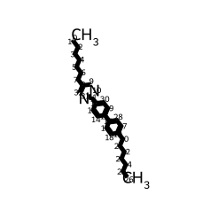 CCCCCCCCc1cnc(-c2ccc(-c3ccc(CCCCCCC)cc3)cc2)nc1